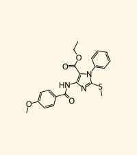 CCOC(=O)c1c(NC(=O)c2ccc(OC)cc2)nc(SC)n1-c1ccccc1